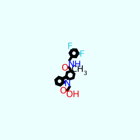 CC1(C(=O)NCc2cc(F)cc(F)c2)CCc2c(c3ccccc3n2CC(=O)O)C1